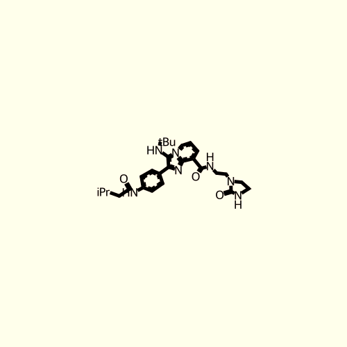 CC(C)CC(=O)Nc1ccc(-c2nc3c(C(=O)NCCN4CCNC4=O)cccn3c2NC(C)(C)C)cc1